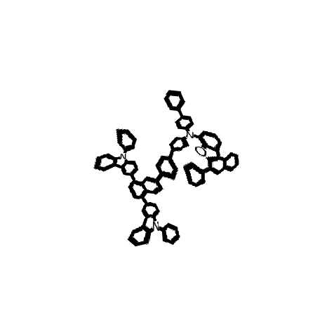 c1ccc(-c2ccc(N(c3ccc(-c4ccc(-c5ccc6c(-c7ccc8c(c7)c7ccccc7n8-c7ccccc7)ccc(-c7ccc8c(c7)c7ccccc7n8-c7ccccc7)c6c5)cc4)cc3)c3cccc4c3oc3c(-c5ccccc5)cc5ccccc5c34)cc2)cc1